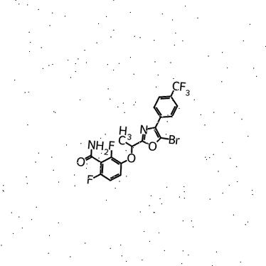 CC(Oc1ccc(F)c(C(N)=O)c1F)c1nc(-c2ccc(C(F)(F)F)cc2)c(Br)o1